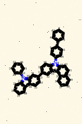 c1ccc(-c2ccc(-n3c4ccc(-c5ccc6c7ccccc7n(-c7ccccc7)c6c5)cc4c4c5ccccc5ccc43)cc2)cc1